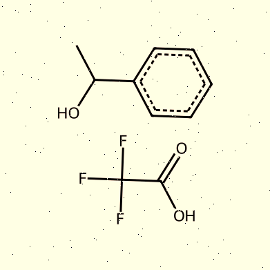 CC(O)c1ccccc1.O=C(O)C(F)(F)F